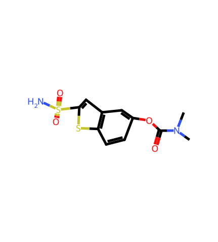 CN(C)C(=O)Oc1ccc2sc(S(N)(=O)=O)cc2c1